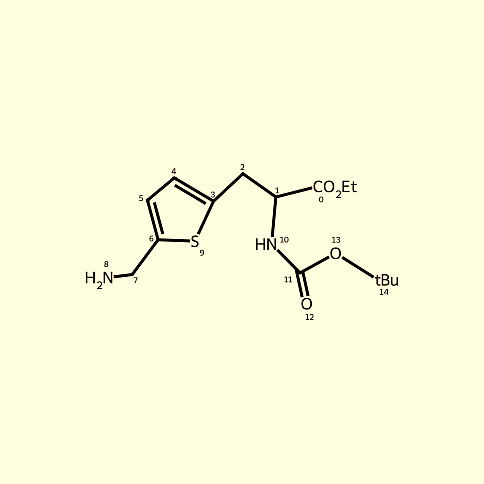 CCOC(=O)C(Cc1ccc(CN)s1)NC(=O)OC(C)(C)C